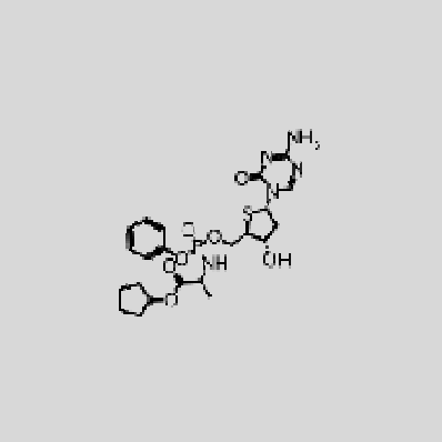 C[C@H](NP(=O)(OC[C@H]1S[C@@H](n2cnc(N)nc2=O)C[C@@H]1O)Oc1ccccc1)C(=O)OC1CCCC1